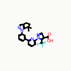 CC1(C)CCc2cnn(-c3cccc(-c4cccc(-n5ncc(C(=O)O)c5C(F)(F)F)n4)c3)c21